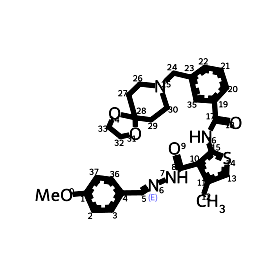 COc1ccc(/C=N/NC(=O)c2c(C)csc2NC(=O)c2cccc(CN3CCC4(CC3)OCCO4)c2)cc1